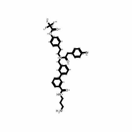 NCCCNC(=O)c1cccc(-c2cccc(CN(CCc3ccc(OC(=O)C(F)(F)F)cc3)C(=O)Cc3ccc(Br)cc3)c2)c1